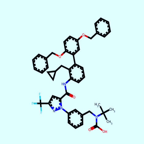 CC(C)(C)N(Cc1cccc(-n2nc(C(F)(F)F)cc2C(=O)Nc2cccc(-c3cc(OCc4ccccc4)ccc3OCc3ccccc3)c2CC2CC2)c1)C(=O)O